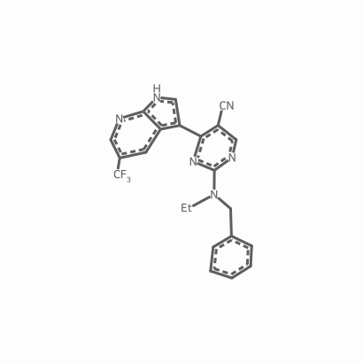 CCN(Cc1ccccc1)c1ncc(C#N)c(-c2c[nH]c3ncc(C(F)(F)F)cc23)n1